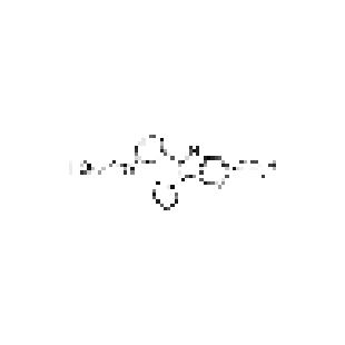 O=C(O)c1ccc2c(c1)nc(-c1cccc(OCCO)c1)n2C1CCCC1